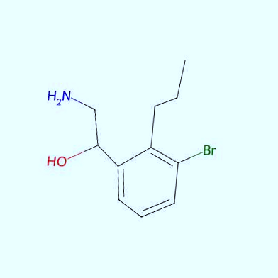 CCCc1c(Br)cccc1C(O)CN